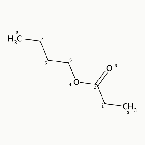 C[CH]C(=O)OCCCC